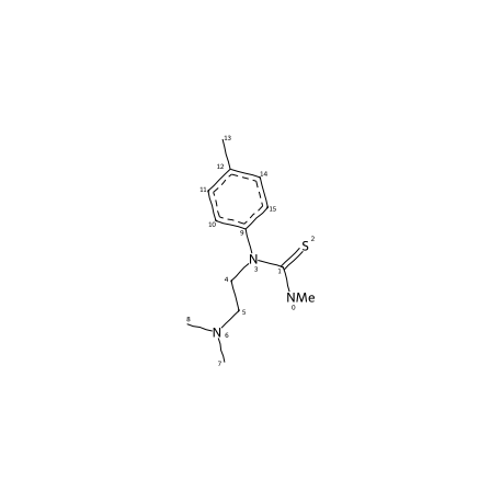 CNC(=S)N(CCN(C)C)c1ccc(C)cc1